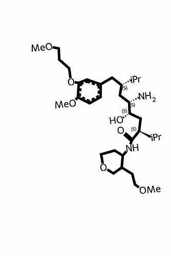 COCCCOc1cc(C[C@@H](C[C@H](N)[C@@H](O)C[C@H](C(=O)NC2CCOCC2CCOC)C(C)C)C(C)C)ccc1OC